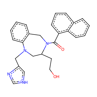 O=C(c1cccc2ccccc12)N1Cc2ccccc2N(Cc2c[nH]cn2)CC1CCO